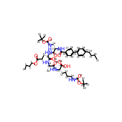 CCCCOC(=O)CC[C@H](NC(=O)[C@H](CNC(=O)OC(C)(C)C)NC(=O)c1ccc(-c2ccc(CCCC)cc2)cc1)C(=O)N[C@@H](C)C(=O)N[C@@H](CCCCNC(=O)OC(C)(C)C)C(=O)O